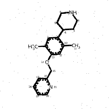 Cc1cc(C2CCNCC2)c(C)cc1OCc1ccccn1